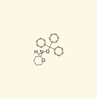 c1ccc(C(O[SiH2]C2CCCCO2)(c2ccccc2)c2ccccc2)cc1